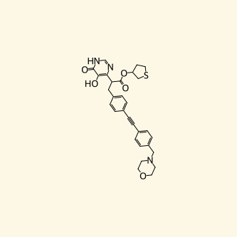 O=C(OC1CCSC1)C(Cc1ccc(C#Cc2ccc(CN3CCOCC3)cc2)cc1)c1nc[nH]c(=O)c1O